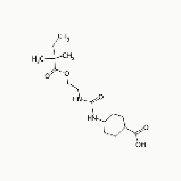 CCC(C)(C)C(=O)OCCNC(=O)NC1CCC(C(=O)O)CC1